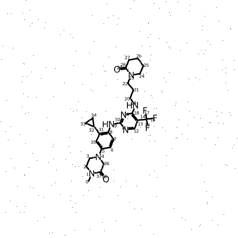 CN1CCN(c2ccc(Nc3ncc(C(F)(F)F)c(NCCCN4CCCCC4=O)n3)c(C3CC3)c2)CC1=O